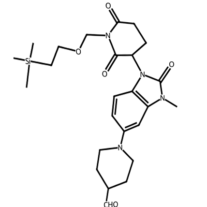 Cn1c(=O)n(C2CCC(=O)N(COCC[Si](C)(C)C)C2=O)c2ccc(N3CCC(C=O)CC3)cc21